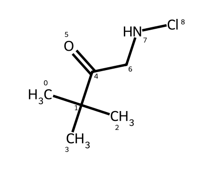 CC(C)(C)C(=O)CNCl